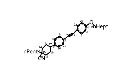 CCCCCCCOc1ccc(C#Cc2ccc(C3CCC(C#N)(CCCCC)CC3)cc2)cc1